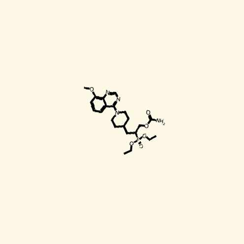 CCOP(=O)(OCC)C(COC(N)=O)CC1CCN(c2ncnc3c(OC)cccc23)CC1